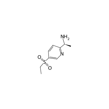 CCS(=O)(=O)c1ccc([C@H](C)N)nc1